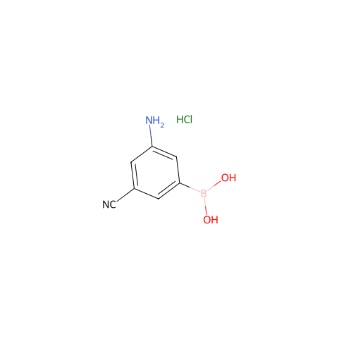 Cl.N#Cc1cc(N)cc(B(O)O)c1